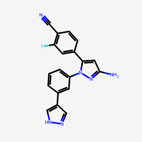 N#Cc1ccc(-c2cc(N)nn2-c2cccc(-c3cn[nH]c3)c2)cc1F